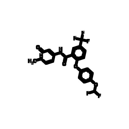 CN/C=C\C(=C/C=O)NC(=O)c1cc(C(F)(F)F)ccc1Oc1ccc(OC(F)F)cc1